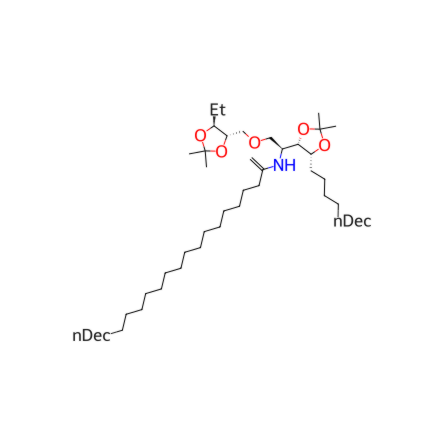 C=C(CCCCCCCCCCCCCCCCCCCCCCCCC)N[C@@H](COC[C@@H]1OC(C)(C)O[C@H]1CC)[C@@H]1OC(C)(C)O[C@@H]1CCCCCCCCCCCCCC